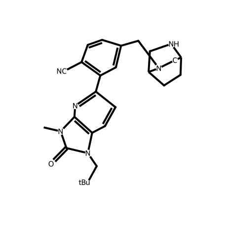 Cn1c(=O)n(CC(C)(C)C)c2ccc(-c3cc(CN4CC5CCC4CN5)ccc3C#N)nc21